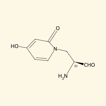 N[C@H](C=O)Cn1ccc(O)cc1=O